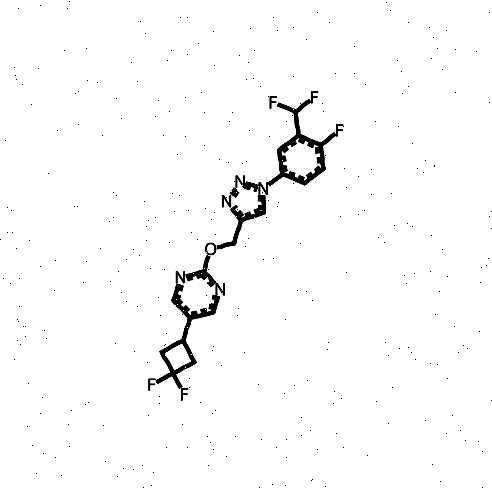 Fc1ccc(-n2cc(COc3ncc(C4CC(F)(F)C4)cn3)nn2)cc1C(F)F